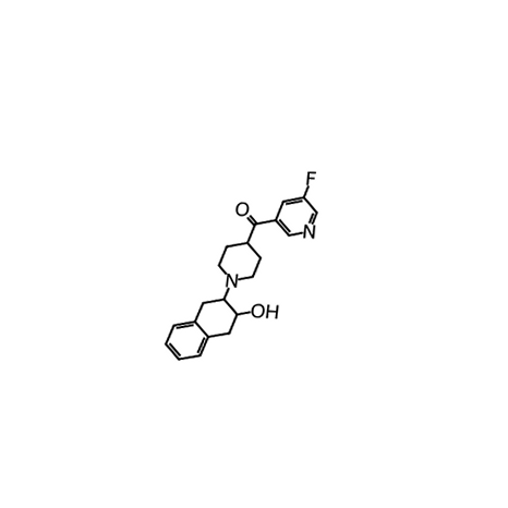 O=C(c1cncc(F)c1)C1CCN(C2Cc3ccccc3CC2O)CC1